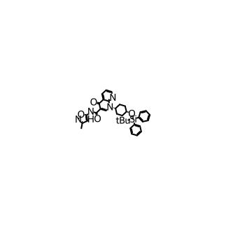 Cc1cc(NC(=O)c2cn([C@H]3CC[C@H](O[Si](c4ccccc4)(c4ccccc4)C(C)(C)C)CC3)c3ncccc3c2=O)on1